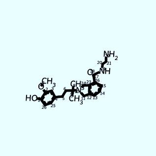 COc1cc(CCC(C)(C)N2Cc3cccc(C(=O)NCCN)c3C2)ccc1O